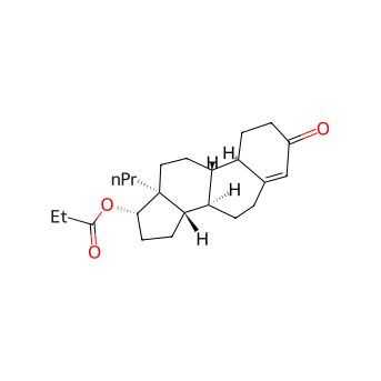 CCC[C@]12CC[C@H]3[C@@H](CCC4=CC(=O)CC[C@@H]43)[C@@H]1CC[C@@H]2OC(=O)CC